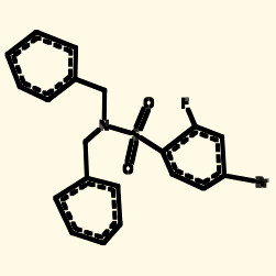 O=S(=O)(c1ccc(Br)cc1F)N(Cc1ccccc1)Cc1ccccc1